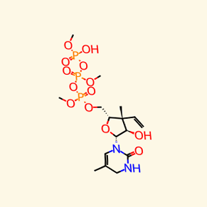 C=C[C@@]1(C)[C@@H](COP(=O)(OC)OP(=O)(OC)OP(=O)(O)OC)O[C@@H](N2C=C(C)CNC2=O)[C@@H]1O